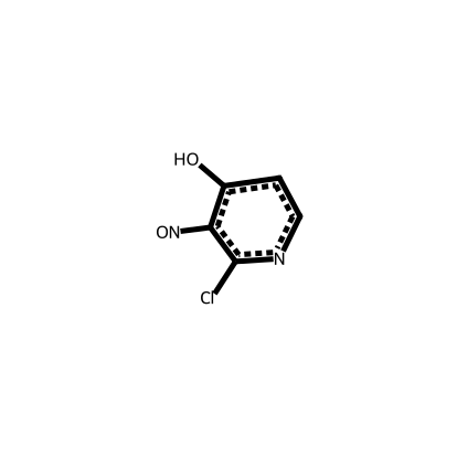 O=Nc1c(O)ccnc1Cl